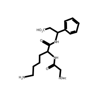 CCCCCCCCCCCC(=O)NC(CCCCN)C(=O)NC(CC(=O)O)c1ccccc1